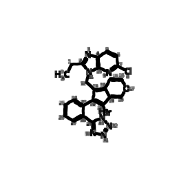 CCc1nc2ccc(Cl)nc2n1Cc1c2ccocc-2c(Br)c1-c1ccccc1-c1nnn[nH]1